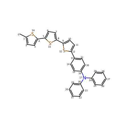 Cc1ccc(-c2ccc(-c3ccc(-c4ccc(N(c5ccccc5)c5ccccc5)cc4)s3)s2)s1